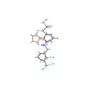 COC(=O)C(F)c1nc(C)nc(NCc2cccc(C(F)F)c2F)c1C1OCCO1